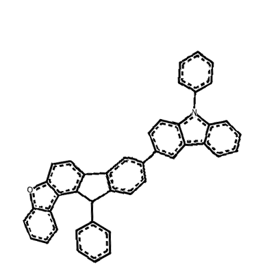 c1ccc(C2c3ccc(-c4ccc5c(c4)c4ccccc4n5-c4ccccc4)cc3-c3ccc4oc5ccccc5c4c32)cc1